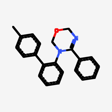 Cc1ccc(-c2ccccc2N2COCN=C2c2ccccc2)cc1